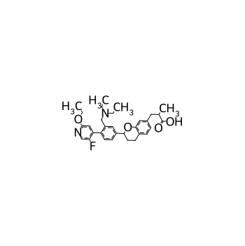 CCOc1cc(-c2ccc(C3CCc4ccc(CC(C)C(=O)O)cc4O3)cc2CN(CC)CC)c(F)cn1